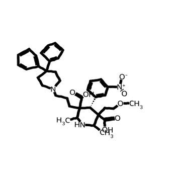 COCCC1(C(=O)O)C(C)NC(C)C(CCCN2CCC(c3ccccc3)(c3ccccc3)CC2)(C(=O)O)[C@@H]1c1cccc([N+](=O)[O-])c1